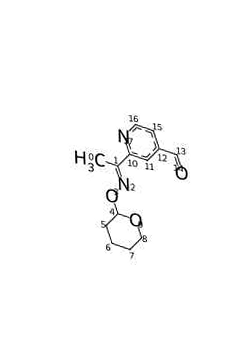 C/C(=N\OC1CCCCO1)c1cc(C=O)ccn1